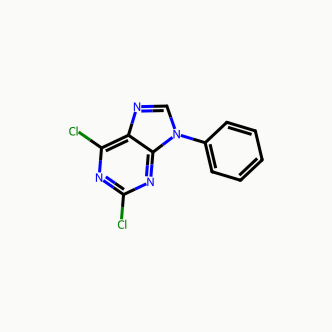 Clc1nc(Cl)c2ncn(-c3ccccc3)c2n1